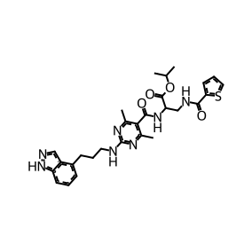 Cc1nc(NCCCc2cccc3[nH]ncc23)nc(C)c1C(=O)NC(CNC(=O)c1cccs1)C(=O)OC(C)C